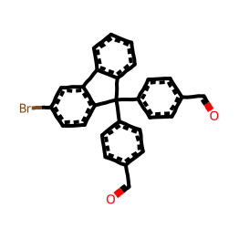 O=Cc1ccc(C2(c3ccc(C=O)cc3)c3ccccc3-c3cc(Br)ccc32)cc1